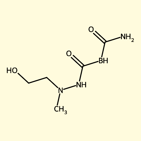 CN(CCO)NC(=O)BC(N)=O